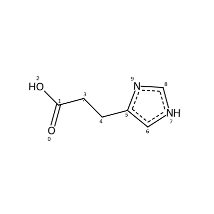 O=C(O)[CH]Cc1c[nH]cn1